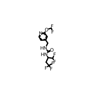 O=C(NCc1ccnc(OC(F)F)c1)NC(CC(F)(F)F)C(F)F